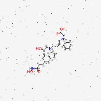 O=C(O)Cn1cc(CCN(CCO)C2CCc3cc(C=CC(=O)NO)ccc32)c2ccccc21